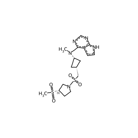 CN(c1ncnc2[nH]ccc12)[C@H]1C[C@@H](CS(=O)(=O)N2CC[C@H](S(C)(=O)=O)C2)C1